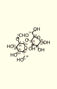 O=CO[C@H]1[C@H](O[C@H]2[C@H](O)[C@@H](O)[C@H](O)O[C@@H]2CO)O[C@H](CO)[C@H](O)[C@@H]1O